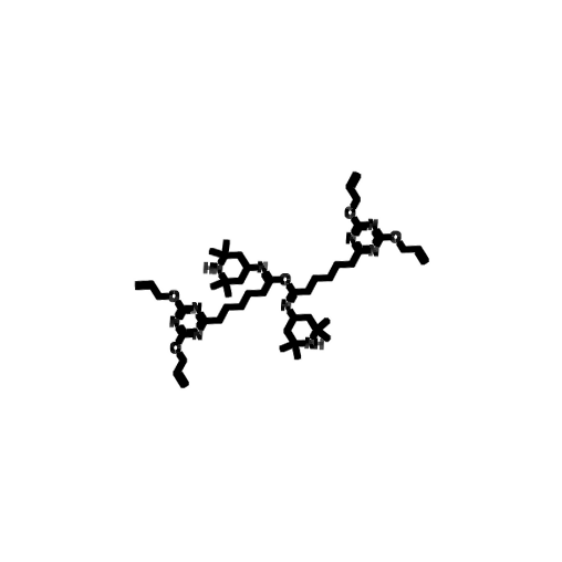 C=CCOc1nc(CCCCCC(=NC2CC(C)(C)NC(C)(C)C2)OC(CCCCCc2nc(OCC=C)nc(OCC=C)n2)=NC2CC(C)(C)NC(C)(C)C2)nc(OCC=C)n1